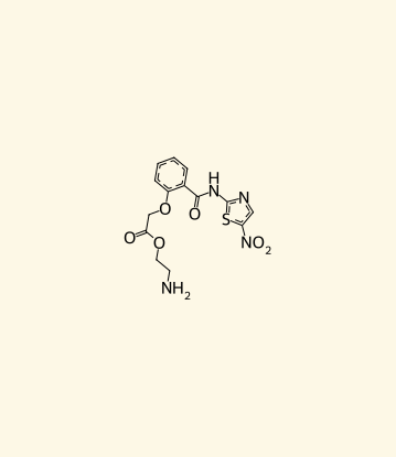 NCCOC(=O)COc1ccccc1C(=O)Nc1ncc([N+](=O)[O-])s1